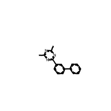 Cc1nc(C)nc(-c2cccc(-c3ccccc3)c2)n1